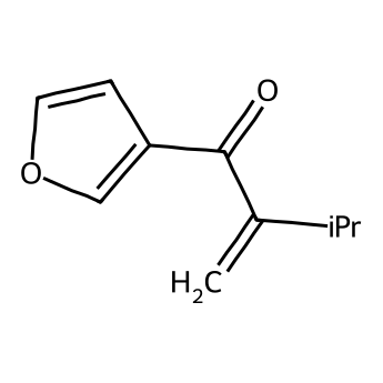 C=C(C(=O)c1ccoc1)C(C)C